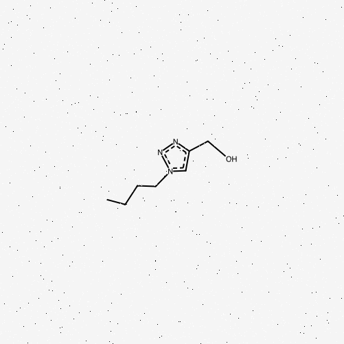 CCCCn1cc(CO)nn1